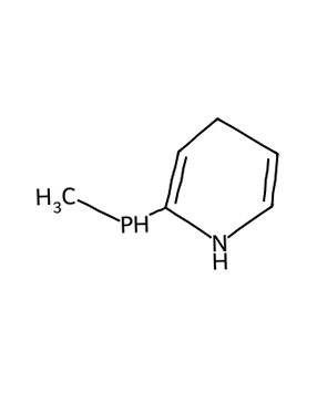 CPC1=CCC=CN1